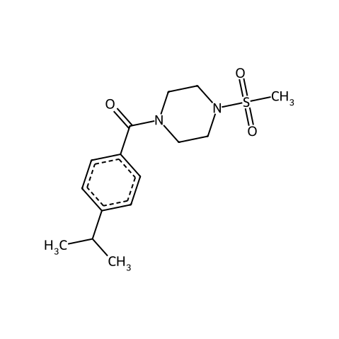 CC(C)c1ccc(C(=O)N2CCN(S(C)(=O)=O)CC2)cc1